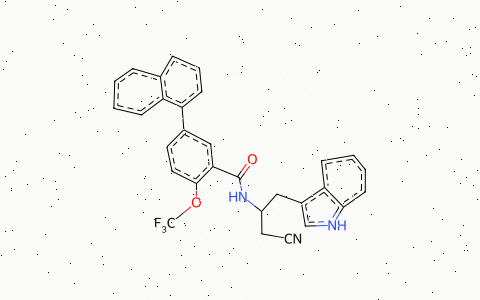 N#CCC(Cc1c[nH]c2ccccc12)NC(=O)c1cc(-c2cccc3ccccc23)ccc1OC(F)(F)F